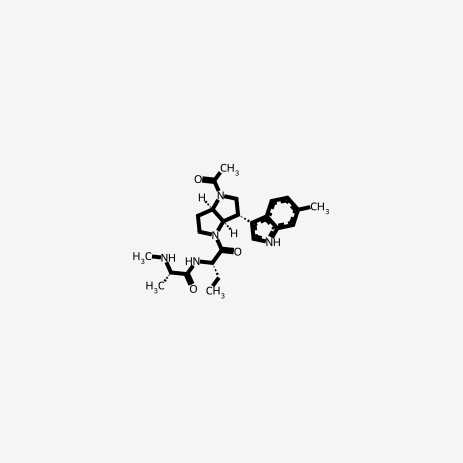 CC[C@H](NC(=O)[C@H](C)NC)C(=O)N1CC[C@@H]2[C@H]1[C@@H](c1c[nH]c3cc(C)ccc13)CN2C(C)=O